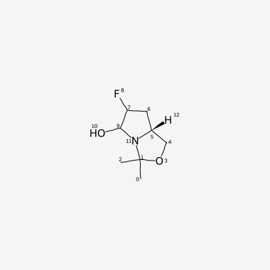 CC1(C)OC[C@H]2CC(F)C(O)N21